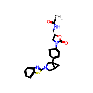 CC(=O)NC[C@H]1CN(c2ccc(C34CC3CN(c3nc5ccccc5s3)C4)cc2)C(=O)O1